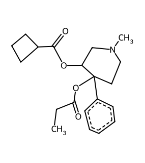 CCC(=O)OC1(c2ccccc2)CCN(C)CC1OC(=O)C1CCC1